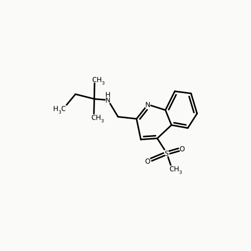 CCC(C)(C)NCc1cc(S(C)(=O)=O)c2ccccc2n1